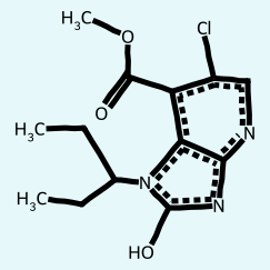 CCC(CC)n1c(O)nc2ncc(Cl)c(C(=O)OC)c21